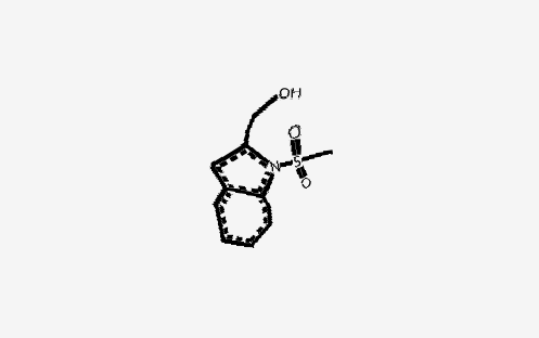 CS(=O)(=O)n1c(CO)cc2ccccc21